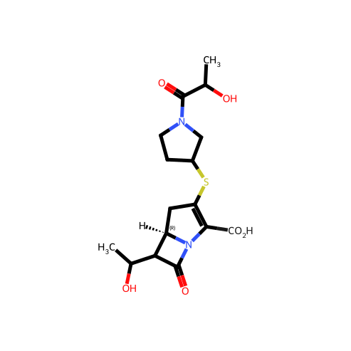 CC(O)C(=O)N1CCC(SC2=C(C(=O)O)N3C(=O)C(C(C)O)[C@H]3C2)C1